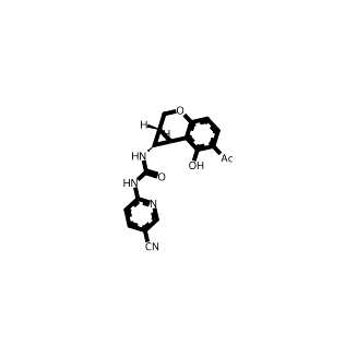 CC(=O)c1ccc2c(c1O)[C@H]1[C@@H](CO2)[C@H]1NC(=O)Nc1ccc(C#N)cn1